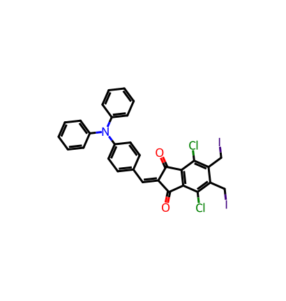 O=C1C(=Cc2ccc(N(c3ccccc3)c3ccccc3)cc2)C(=O)c2c(Cl)c(CI)c(CI)c(Cl)c21